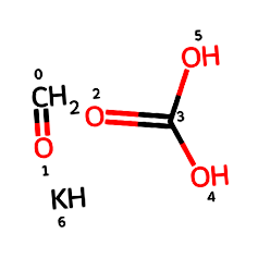 C=O.O=C(O)O.[KH]